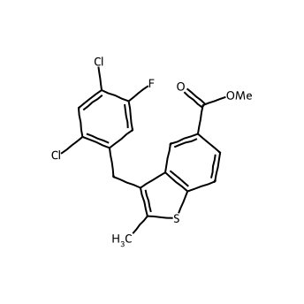 COC(=O)c1ccc2sc(C)c(Cc3cc(F)c(Cl)cc3Cl)c2c1